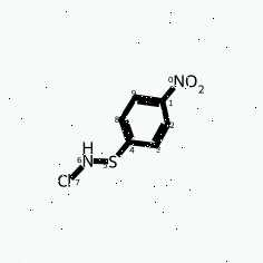 O=[N+]([O-])c1ccc(SNCl)cc1